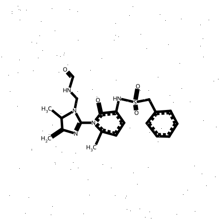 C=C1N=C(n2c(C)ccc(NS(=O)(=O)Cc3ccccc3)c2=O)N(CNC=O)C1C